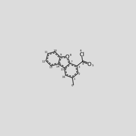 Cc1cc(C(=O)Cl)c2oc3ccccc3c2c1